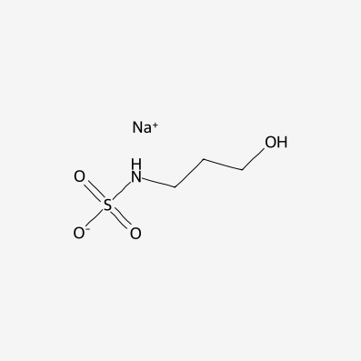 O=S(=O)([O-])NCCCO.[Na+]